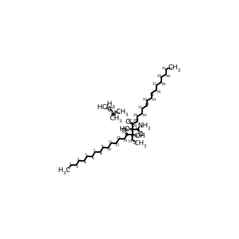 CCCCCCCCCCCCCCCC(=O)C(O)(CC)C(O)(C(N)=O)C(=O)CCCCCCCCCCCCCCC.CN(C)C.Cl